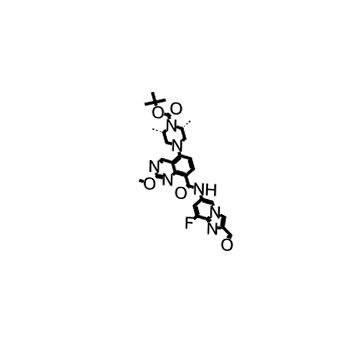 COc1ncc2c(N3C[C@@H](C)N(C(=O)OC(C)(C)C)[C@@H](C)C3)ccc(C(=O)Nc3cc(F)c4nc(C=O)cn4c3)c2n1